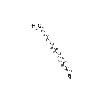 [CH2]CCCCCCCCCCCCCCCCCCCCCC#N